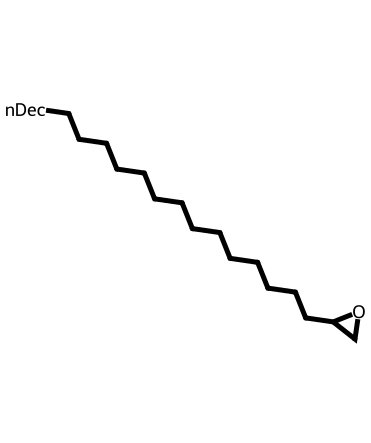 CCCCCCCCCCCCCCCCCCCCCCCCC1CO1